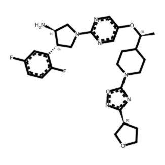 C[C@H](Oc1cnc(N2C[C@H](c3cc(F)ccc3F)[C@@H](N)C2)nc1)C1CCN(c2nc([C@H]3CCOC3)no2)CC1